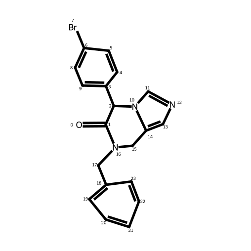 O=C1C(c2ccc(Br)cc2)n2cncc2CN1Cc1ccccc1